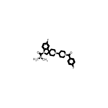 CN(C)C(=O)N1CC2(CCN(C3CCN(C(=O)c4ccc(F)cc4)CC3)CC2)c2cc(F)ccc21